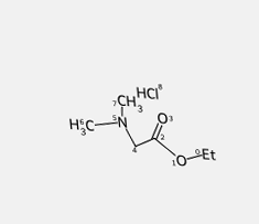 CCOC(=O)CN(C)C.Cl